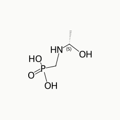 C[C@H](O)NCP(=O)(O)O